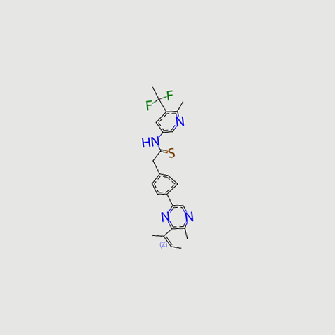 C/C=C(/C)c1nc(-c2ccc(CC(=S)Nc3cnc(C)c(C(C)(F)F)c3)cc2)cnc1C